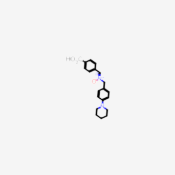 O=C(O)c1ccc(/C=[N+](\[O-])Cc2ccc(N3CCCCC3)cc2)cc1